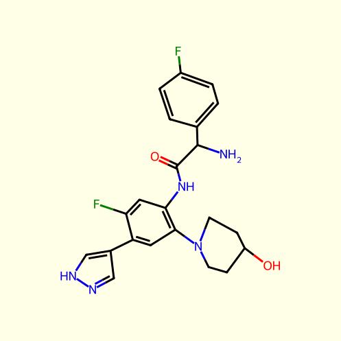 NC(C(=O)Nc1cc(F)c(-c2cn[nH]c2)cc1N1CCC(O)CC1)c1ccc(F)cc1